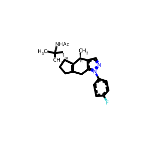 CC(=O)NC(C)(C)C[C@H]1CCC2=C1[C@@H](C)c1cnn(-c3ccc(F)cc3)c1C2